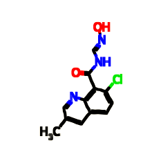 Cc1cnc2c(C(=O)NC=NO)c(Cl)ccc2c1